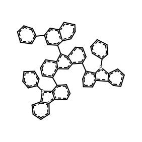 c1ccc(-c2cc(-c3c4cccc(-c5cccc6c7ccccc7p(-c7ccccc7)c56)c4cc4c(-c5cccc6c7ccccc7p(-c7ccccc7)c56)cccc34)c3ccccc3c2)cc1